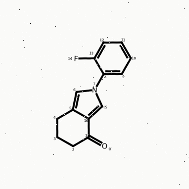 O=C1CCCc2cn(-c3ccccc3F)cc21